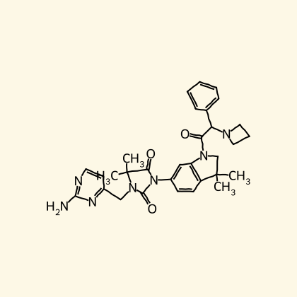 CC1(C)CN(C(=O)C(c2ccccc2)N2CCC2)c2cc(N3C(=O)N(Cc4ccnc(N)n4)C(C)(C)C3=O)ccc21